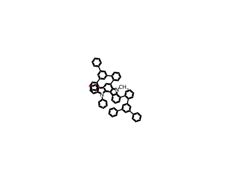 Cn1c2c(-c3ccccc3-c3cc(-c4ccccc4)cc(-c4ccccc4)c3)cccc2c2c1c(-c1ccccc1-c1cc(-c3ccccc3)cc(-c3ccccc3)c1)cc1c3ccccc3n(-c3ccccc3)c12